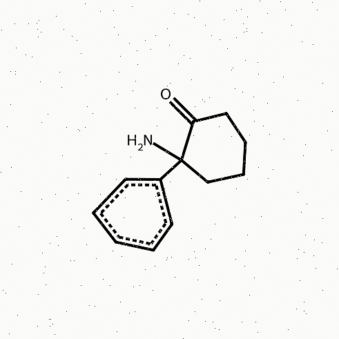 NC1(c2ccccc2)CCCCC1=O